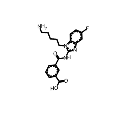 NCCCCCn1c(NC(=O)c2cccc(C(=O)O)c2)nc2cc(F)ccc21